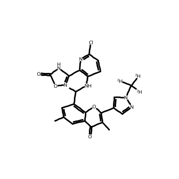 [2H]C([2H])([2H])n1cc(-c2oc3c(C(C)Nc4ccc(Cl)nc4-c4noc(=O)[nH]4)cc(C)cc3c(=O)c2C)cn1